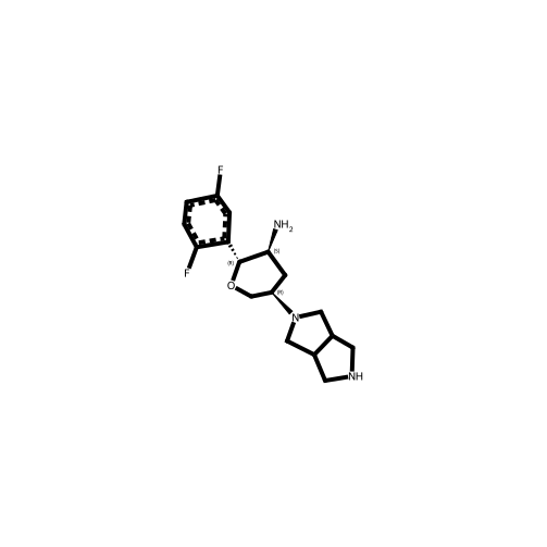 N[C@H]1C[C@@H](N2CC3CNCC3C2)CO[C@@H]1c1cc(F)ccc1F